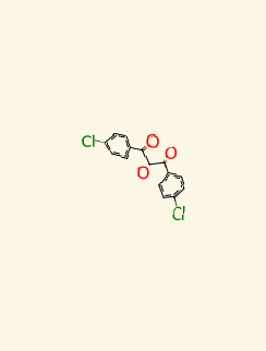 O=C(C(=O)c1ccc(Cl)cc1)C(=O)c1ccc(Cl)cc1